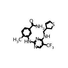 Cc1ccc(C(N)=O)cc1Nc1ncc(C(F)(F)F)c(NCC2C=CSC2)n1